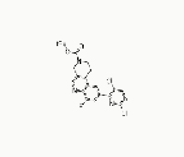 CC(C)(C)OC(=O)N1CCc2c(cnc3c(F)cc(-c4nc(Cl)ncc4Cl)cc23)C1